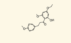 CCOc1cc(O)c(C(=O)CCc2ccc(OC)cc2)c(OC)c1